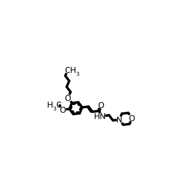 CCCCCOc1cc(C=CC(=O)NCCN2CCOCC2)ccc1OC